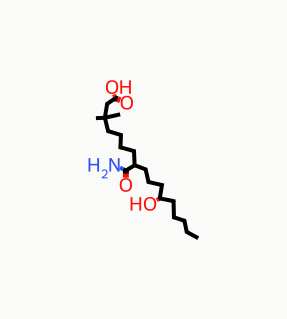 CCCCCC(O)CCCC(CCCCC(C)(C)CC(=O)O)C(N)=O